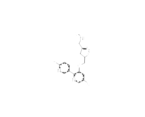 Fc1ccc(-c2ncc(Cl)cc2OCC2CC(CNCl)=NO2)cn1